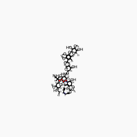 C#C/C=C\C#C[C@H](O[C@@H]1O[C@H](C)[C@@H](NO[C@H]2C[C@H](O)[C@H](SC(=O)c3c(C)c(I)c(O[C@@H]4O[C@@H](C)[C@H](O)[C@@H](OC)[C@H]4O)c(OC)c3OC)[C@@H](C)O2)[C@H](O)[C@H]1O[C@H]1C[C@H](OC)[C@@H](NCC)CO1)C1=C(NC(=O)OC)C(=O)C[C@](C)(O)/C1=C/CSSC(C)(C)C#N